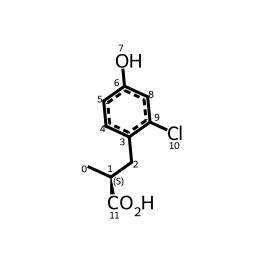 C[C@@H](Cc1ccc(O)cc1Cl)C(=O)O